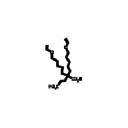 C=COCCCCCC(CCCCCOC=C)(CCC(=O)O)C(=O)O